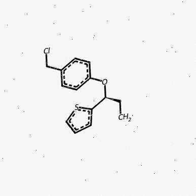 [CH2]C[C@H](Oc1ccc(CCl)cc1)c1cccs1